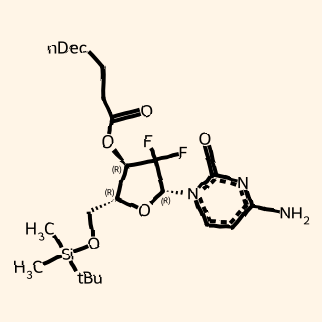 CCCCCCCCCCCCC(=O)O[C@@H]1[C@@H](CO[Si](C)(C)C(C)(C)C)O[C@@H](n2ccc(N)nc2=O)C1(F)F